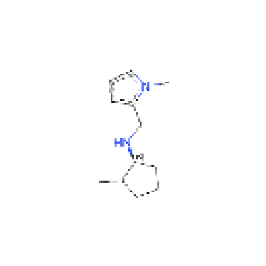 CC1CCC[C@@H]1NCc1cccn1C